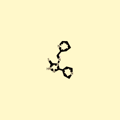 S=c1[nH]nc(-c2ccncc2)n1/N=C/c1ccccn1